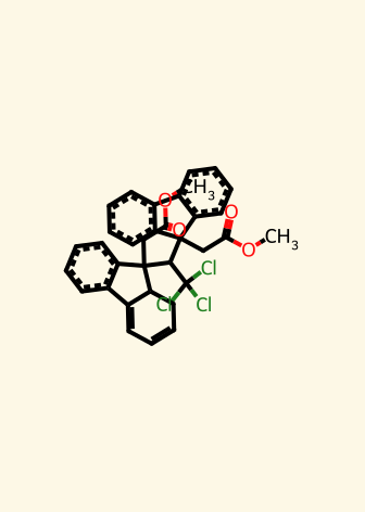 COC(=O)CC1(C(C(Cl)(Cl)Cl)C2(CC(=O)OC)c3ccccc3C3=CC=CCC32)c2ccccc2-c2ccccc21